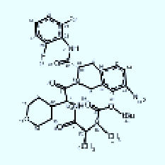 C[C@@H](C(=O)N[C@H](C(=O)N1Cc2cc(N)ccc2C[C@H]1C(=O)Nc1c(F)cccc1F)C1CCOCC1)N(C)C(=O)OC(C)(C)C